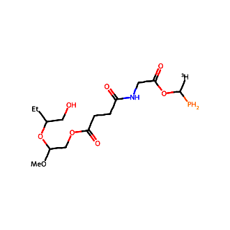 [3H]C(P)OC(=O)CNC(=O)CCC(=O)OCC(OC)OC(CC)CO